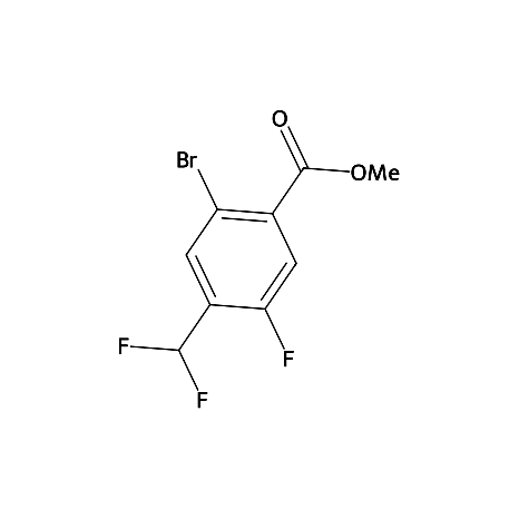 COC(=O)c1cc(F)c(C(F)F)cc1Br